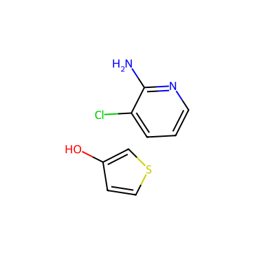 Nc1ncccc1Cl.Oc1ccsc1